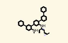 C=C/C(=C\C=C/C)Nc1cc(-c2cc(-c3ccccc3)ccc2NC)ccc1-c1cccc(-c2ccccc2)c1